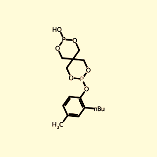 CCCCc1cc(C)ccc1OP1OCC2(COP(O)OC2)CO1